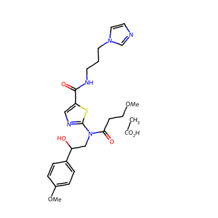 CC(=O)O.COCCC(=O)N(CC(O)c1ccc(OC)cc1)c1ncc(C(=O)NCCCn2ccnc2)s1